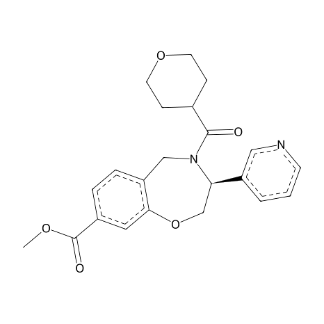 COC(=O)c1ccc2c(c1)OC[C@H](c1cccnc1)N(C(=O)C1CCOCC1)C2